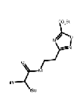 CCOC(=O)c1nc(CCNC(=O)C(C(C)C)C(C)(C)C)no1